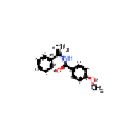 C=C(NC(=O)c1ccc(OC)cc1)c1ccccc1